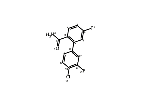 NC(=O)c1ccc(F)cc1-c1ccc(Cl)c(F)c1